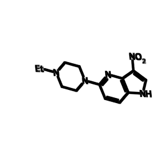 CCN1CCN(c2ccc3[nH]cc([N+](=O)[O-])c3n2)CC1